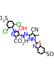 Cc1c(C#N)c(/N=N/c2c(C(=O)O)nn(-c3c(Cl)cc(S(=O)(=O)O)cc3Cl)c2O)nn1-c1nc2ccc(S(=O)(=O)O)cc2s1